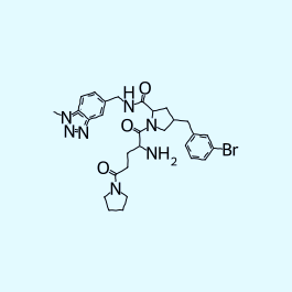 Cn1nnc2cc(CNC(=O)C3CC(Cc4cccc(Br)c4)CN3C(=O)C(N)CCC(=O)N3CCCC3)ccc21